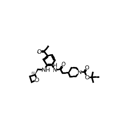 CC(=O)c1ccc(NC(=O)CC2CCN(C(=O)OC(C)(C)C)CC2)c(NC[C@@H]2CCO2)c1